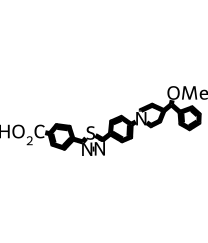 COC(c1ccccc1)C1CCN(c2ccc(-c3nnc(-c4ccc(C(=O)O)cc4)s3)cc2)CC1